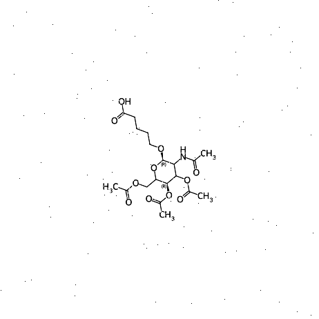 CC(=O)NC1C(OC(C)=O)[C@@H](OC(C)=O)C(COC(C)=O)O[C@H]1OCCCCC(=O)O